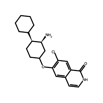 N[C@H]1CC(Oc2cc3cc[nH]c(=O)c3cc2Cl)CC[C@H]1C1CCCCC1